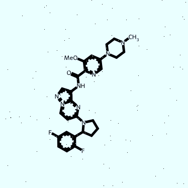 COc1cc(N2CCN(C)CC2)cnc1C(=O)Nc1cnn2ccc(N3CCCC3c3cc(F)ccc3F)nc12